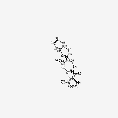 O=C(c1cc(Cl)ncn1)N1CC[C@H](O)[C@@H](N2CCc3ccccc3C2)CC1